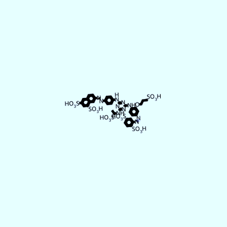 CC(Nc1nc(Nc2ccc(N=Nc3ccc4cc(S(=O)(=O)O)cc(S(=O)(=O)O)c4c3)cc2)nc(Nc2ccc(/N=N\c3cc(S(=O)(=O)O)ccc3S(=O)(=O)O)cc2OCCCS(=O)(=O)O)n1)S(=O)(=O)O